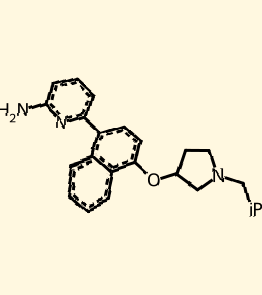 CC(C)CN1CCC(Oc2ccc(-c3cccc(N)n3)c3ccccc23)C1